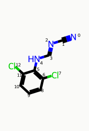 N#CN=CNc1c(Cl)cccc1Cl